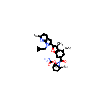 COc1cc(C(=O)N2CC3CCC2(C(C)(C)C)[C@@H]3OC(N)=O)cc2oc(-c3cc4ccc(C(C)=O)nc4n3CC3CC3)c(C)c12